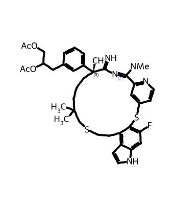 CN/C1=N\C(=N)[C@@](C)(c2cccc(CC(COC(C)=O)OC(C)=O)c2)CCCC(C)(C)CSCCc2c(c(F)cc3[nH]ccc23)Sc2ccnc1c2